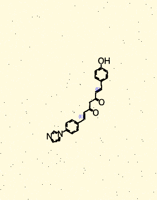 O=C(/C=C/c1ccc(O)cc1)CC(=O)/C=C/c1ccc(-n2ccnc2)cc1